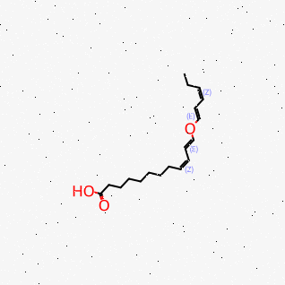 CC/C=C\C=C\O/C=C/C=C\CCCCCCCC(=O)O